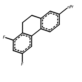 CCCc1ccc2c(c1)CCc1c(F)cc(F)cc1-2